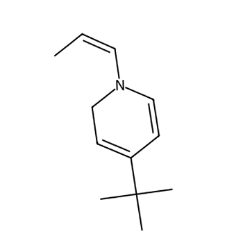 C/C=C\N1C=CC(C(C)(C)C)=CC1